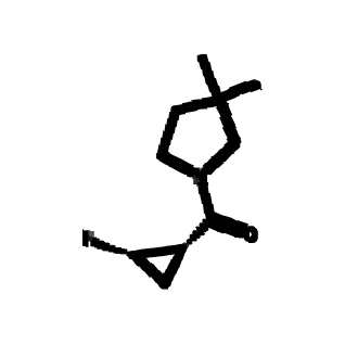 CC1(C)CCN(C(=O)[C@@H]2C[C@@H]2F)C1